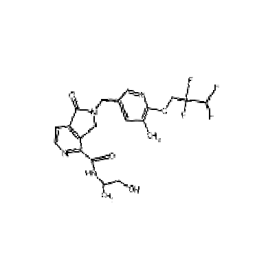 Cc1cc(CN2Cc3c(ccnc3C(=O)NC(C)CO)C2=O)cnc1OCC(F)(F)C(F)F